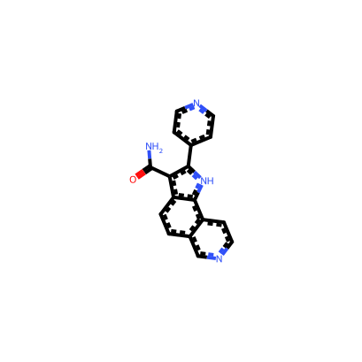 NC(=O)c1c(-c2ccncc2)[nH]c2c1ccc1cnccc12